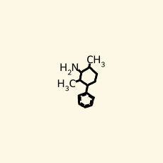 CC1CCC(c2ccccc2)C(C)C1N